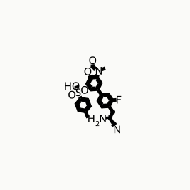 Cc1ccc(S(=O)(=O)O)cc1.Cn1c(=O)oc2ccc(-c3ccc(C[C@H](N)C#N)c(F)c3)cc21